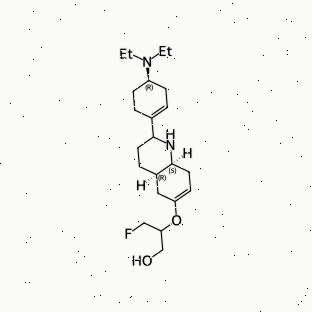 CCN(CC)[C@H]1CC=C(C2CC[C@@H]3CC(OC(CO)CF)=CC[C@@H]3N2)CC1